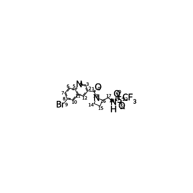 O=C(c1cnc2ccc(Br)cc2c1)N1CCC1CNS(=O)(=O)C(F)(F)F